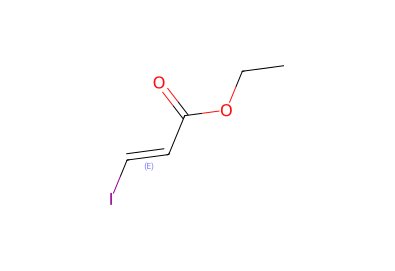 CCOC(=O)/C=C/I